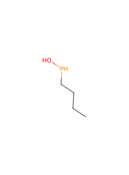 CCCCPO